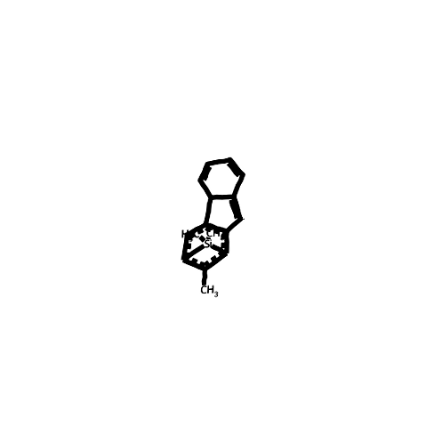 Cc1c2cc3c(c1[Si]2(C)C)[C]=C1C=CC=CC13